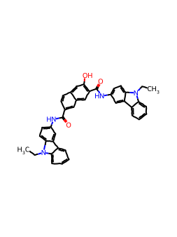 CCn1c2ccccc2c2cc(NC(=O)c3ccc4cc(O)c(C(=O)Nc5ccc6c(c5)c5ccccc5n6CC)cc4c3)ccc21